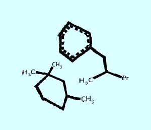 CC(C)C(C)Cc1cc[c]cc1.CC1CCCC(C)(C)C1